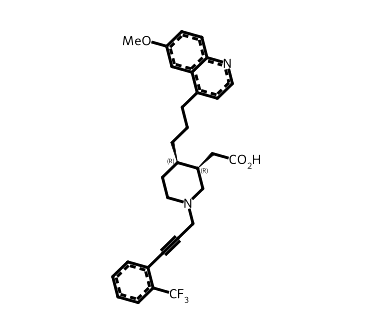 COc1ccc2nccc(CCC[C@@H]3CCN(CC#Cc4ccccc4C(F)(F)F)C[C@@H]3CC(=O)O)c2c1